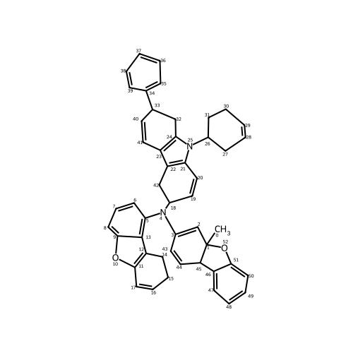 CC12C=C(N(c3cccc4oc5c(c34)CCC=C5)C3C=Cc4c(c5c(n4C4CC=CCC4)CC(c4ccccc4)C=C5)C3)C=CC1c1ccccc1O2